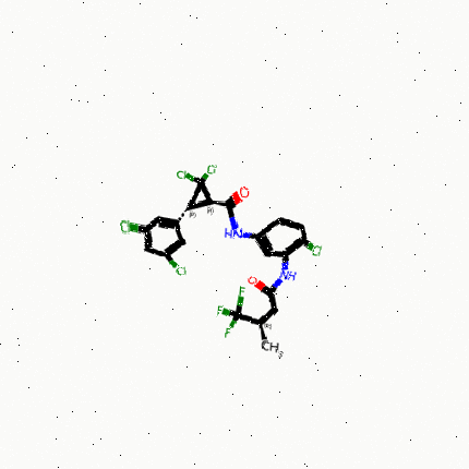 C[C@H](CC(=O)Nc1cc(NC(=O)[C@H]2[C@H](c3cc(Cl)cc(Cl)c3)C2(Cl)Cl)ccc1Cl)C(F)(F)F